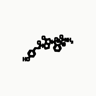 NC(=O)S(=O)(=O)c1ccccc1C(=O)N1CC(=O)C2C1CCN2C(=O)[CH]Cc1ccc(O)cc1